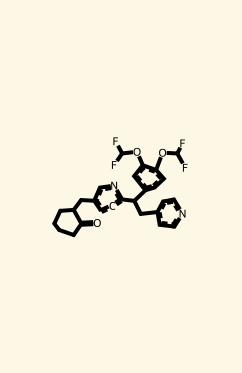 O=C1CCCCC1Cc1ccc(C(Cc2ccncc2)c2ccc(OC(F)F)c(OC(F)F)c2)nc1